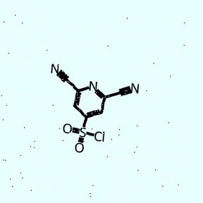 N#Cc1cc(S(=O)(=O)Cl)cc(C#N)n1